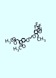 CCCc1c(OCCCOc2ccc3c(CC(=O)OC)cn(C(C)=O)c3c2)ccc2c(C(F)(F)F)noc12